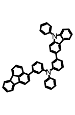 c1ccc(N(c2cccc(-c3ccc4c(c3)c3ccccc3n4-c3ccccc3)c2)c2cccc(-c3ccc4c5c(cccc35)-c3ccccc3-4)c2)cc1